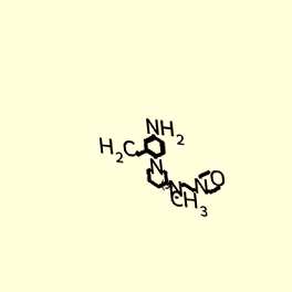 C=Cc1cc(N)ccc1N1CCC[C@H](N(C)CCN2CCOCC2)C1